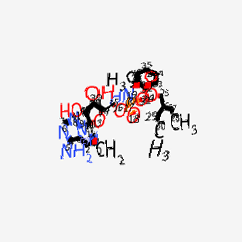 C=C/C=C1/C(N)=NC=NN1[C@]1(C#N)O[C@H](CO[P@](=O)(N[C@@H](C)C(=O)OCC(CC)CC)Oc2ccccc2)[C@@H](O)[C@H]1O